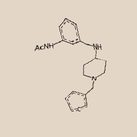 CC(=O)Nc1cccc(NC2CCN(Cc3ccccc3)CC2)c1